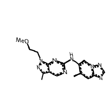 COCCn1nc(C)c2cnc(Nc3cn4ncnc4cc3C)nc21